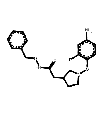 Nc1ccc(ON2CCC(CC(=O)NOCc3ccccc3)C2)c(F)c1